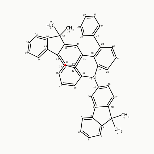 CC1(C)c2ccccc2-c2cc(N(c3ccccc3)c3cccc(-c4ccccc4)c3-c3ccc4c(c3)C(C)(C)c3ccccc3-4)ccc21